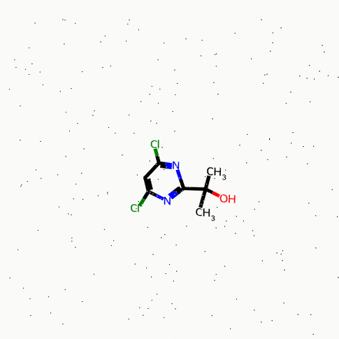 CC(C)(O)c1nc(Cl)cc(Cl)n1